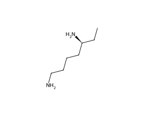 CC[C@H](N)CCCCN